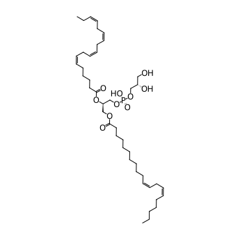 CC/C=C\C/C=C\C/C=C\C/C=C\CCCCC(=O)O[C@H](COC(=O)CCCCCCCCC/C=C\C/C=C\CCCCC)COP(=O)(O)OC[C@@H](O)CO